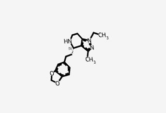 CCn1nc(C)c2c1CCN[C@H]2CCc1ccc2c(c1)OCO2